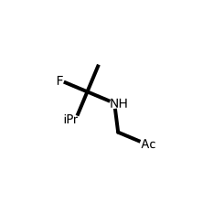 CC(=O)CNC(C)(F)C(C)C